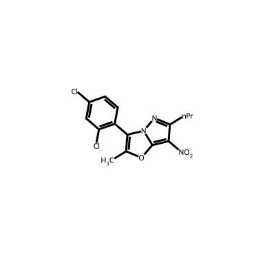 CCCc1nn2c(-c3ccc(Cl)cc3Cl)c(C)oc2c1[N+](=O)[O-]